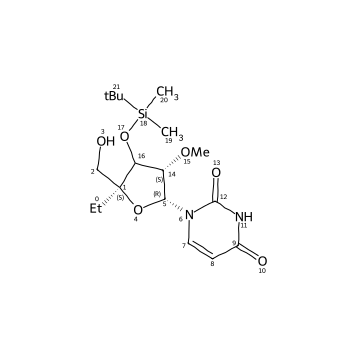 CC[C@@]1(CO)O[C@@H](n2ccc(=O)[nH]c2=O)[C@@H](OC)C1O[Si](C)(C)C(C)(C)C